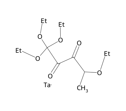 CCOC(C)C(=O)C(=O)C(OCC)(OCC)OCC.[Ta]